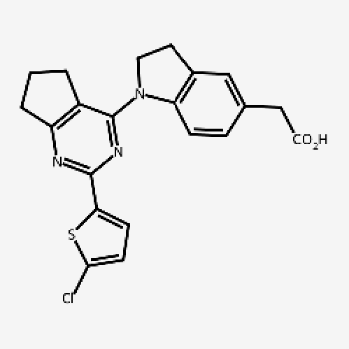 O=C(O)Cc1ccc2c(c1)CCN2c1nc(-c2ccc(Cl)s2)nc2c1CCC2